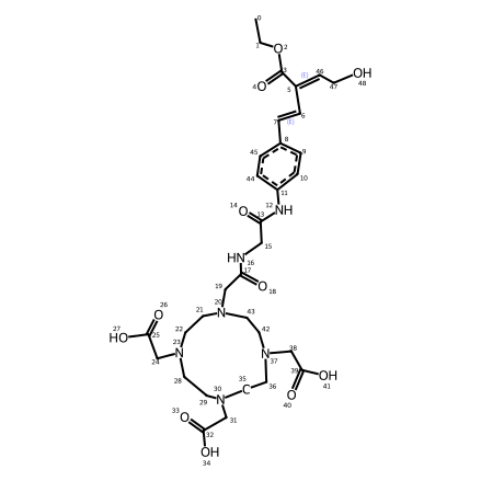 CCOC(=O)C(/C=C/c1ccc(NC(=O)CNC(=O)CN2CCN(CC(=O)O)CCN(CC(=O)O)CCN(CC(=O)O)CC2)cc1)=C/CO